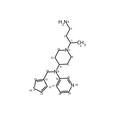 CC(CCN)N1CCC(N(Cc2ccsc2)c2cccnc2)CC1